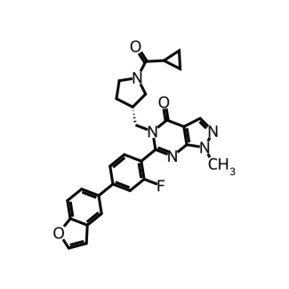 Cn1ncc2c(=O)n(C[C@@H]3CCN(C(=O)C4CC4)C3)c(-c3ccc(-c4ccc5occc5c4)cc3F)nc21